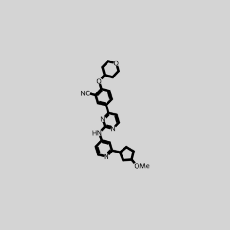 COC1CCC(c2cc(Nc3nccc(-c4ccc(OC5CCOCC5)c(C#N)c4)n3)ccn2)C1